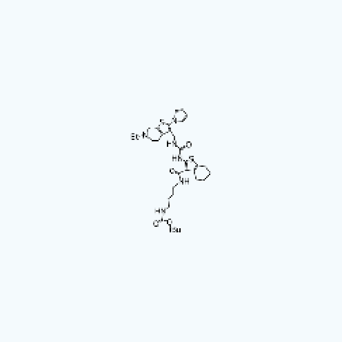 CCN1CCc2c(sc(-n3cccc3)c2CNC(=O)Nc2sc3c(c2C(=O)NCCCCNC(=O)OC(C)(C)C)CCCC3)C1